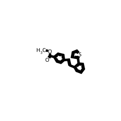 COC(=O)c1ccc(/C=C/c2ccccc2-c2cccs2)cc1